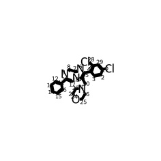 Clc1ccc(-c2nc3cnc(-c4ccccc4)cn3c2CN2CCOCC2)c(Cl)c1